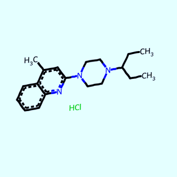 CCC(CC)N1CCN(c2cc(C)c3ccccc3n2)CC1.Cl